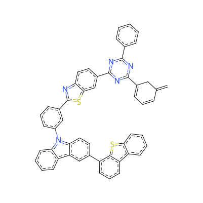 C=C1C=CC=C(c2nc(-c3ccccc3)nc(-c3ccc4nc(-c5cccc(-n6c7ccccc7c7cc(-c8cccc9c8sc8ccccc89)ccc76)c5)sc4c3)n2)C1